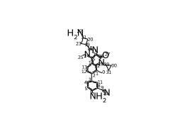 Cc1c(-c2ccc(N)c(C#N)c2)ccc2c3c(nc(C4CC(N)C4)n3C)c(=O)n(C3CC3)c12